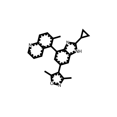 Cc1ccc2ncccc2c1-c1cc(-c2c(C)noc2C)cc2[nH]c(C3CC3)nc12